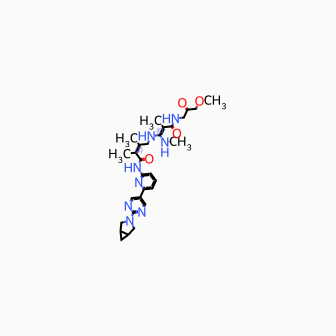 CN/C(NC/C(C)=C(/C)C(=O)Nc1cccc(-c2cnc(N3CC4CC4C3)nc2)n1)=C(/C)C(=O)NCC(=O)COC